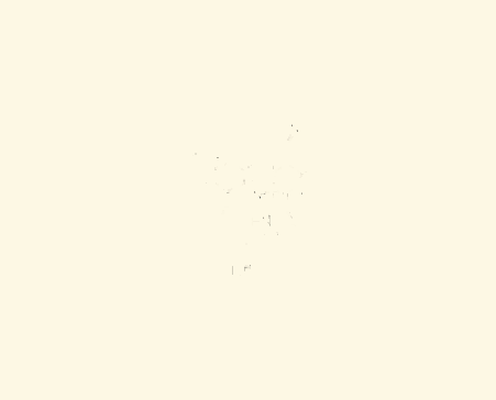 N#Cc1ccc(C(=O)NOCCO)c(Nc2ccc(I)cc2F)c1